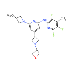 COC1CN(c2cc(C3CN(C4COC4)C3)cc(Nc3nc(F)c(F)c(C)c3F)n2)C1